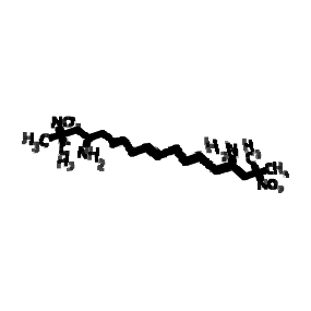 CC(C)(CC(N)CCCCCCCCCCC(N)CC(C)(C)[N+](=O)[O-])[N+](=O)[O-]